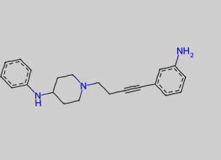 Nc1cccc(C#CCCN2CCC(Nc3ccccc3)CC2)c1